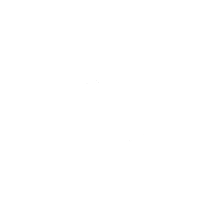 CC(=O)N(CCCCCCN(C(C)=O)C(C)=O)C(C)=O